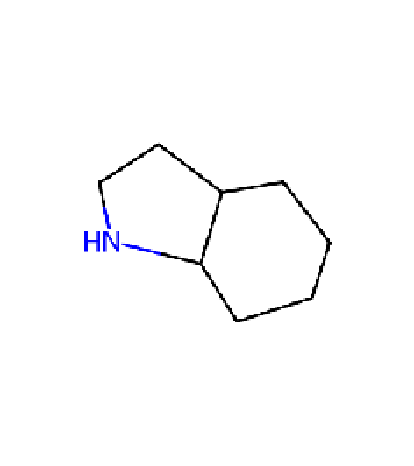 C1CCC2NCCC2C1